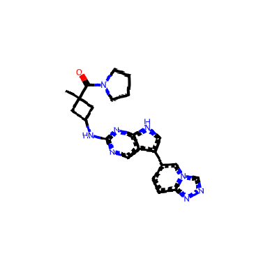 CC1(C(=O)N2CCCC2)CC(Nc2ncc3c(-c4ccc5nncn5c4)c[nH]c3n2)C1